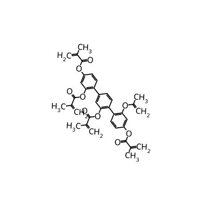 C=C(C)Oc1cc(OC(=O)C(=C)C)ccc1-c1ccc(-c2ccc(OC(=O)C(=C)C)cc2OC(=O)C(=C)C)cc1OC(=O)C(=C)C